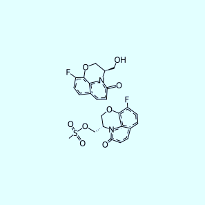 CS(=O)(=O)OC[C@@H]1COc2c(F)ccc3ccc(=O)n1c23.O=c1ccc2ccc(F)c3c2n1[C@H](CO)CO3